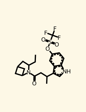 CCC1CC2CC(C2)N1C(=O)CC(C)c1c[nH]c2ccc(OS(=O)(=O)C(F)(F)F)cc12